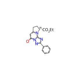 CCOC(=O)[C@H]1CCc2cc(=O)n3nc(-c4ccccc4)nc3n21